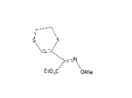 CCOC(=O)C(=NOC)C1=CSCCS1